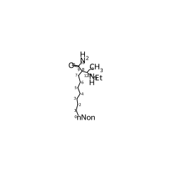 CCCCCCCCCCCCCCCCC(C(N)=O)C(C)NCC